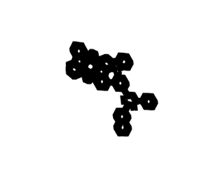 c1ccc(-c2cc(-c3cccc(-c4cccc5c4-c4c(ccc6c4oc4ccccc46)C54c5ccccc5C5(c6ccccc6-c6ccccc65)c5ccccc54)c3)nc(-c3ccc4ccccc4c3)n2)cc1